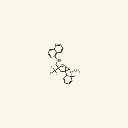 COC1(F)C=CC=CC1C1(CC(O)(CNc2cccc3ncccc23)C(F)(F)F)CC1